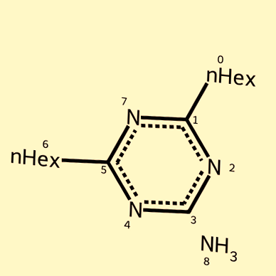 CCCCCCc1ncnc(CCCCCC)n1.N